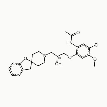 COc1cc(OC[C@H](O)CN2CCC3(CC2)Cc2ccccc2O3)c(NC(C)=O)cc1Cl